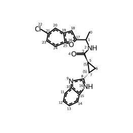 CC(NC(=O)[C@H]1C[C@@H]1c1nc2ccccc2[nH]1)c1cc2cc(Cl)ccc2o1